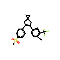 Cc1ccc(C2=C(c3ccc(S(C)(=O)=O)cc3)CC3(CC3)C2)cc1C(F)(F)F